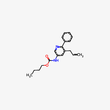 C=CCc1cc(NC(=O)OCCCC)cnc1-c1ccccc1